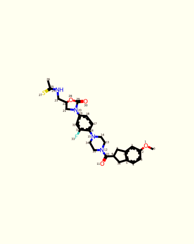 COc1ccc2c(c1)CC(C(=O)N1CCN(c3ccc(N4CC(CNC(C)=S)OC4=O)cc3F)CC1)C2